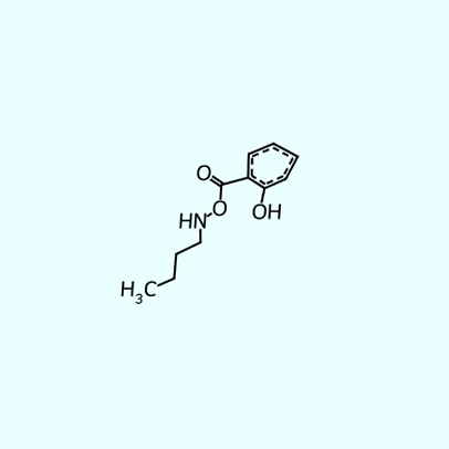 CCCCNOC(=O)c1ccccc1O